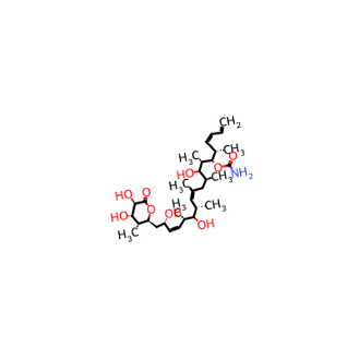 C=C/C=C\[C@H](C)[C@H](OC(N)=O)[C@@H](C)[C@H](O)[C@@H](C)C/C(C)=C\[C@H](C)[C@@H](O)[C@@H](C)/C=C\[C@@H](O)C[C@@H]1OC(=O)[C@H](O)[C@@H](O)[C@H]1C